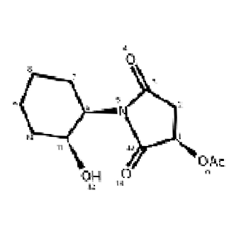 CC(=O)O[C@@H]1CC(=O)N([C@@H]2CCCC[C@@H]2O)C1=O